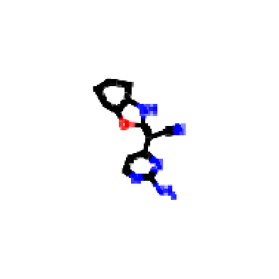 N#CC(=C1Nc2ccccc2O1)c1ccnc(N)n1